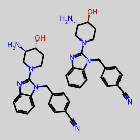 N#Cc1ccc(Cn2c(N3CC[C@@H](O)[C@H](N)C3)nc3ccccc32)cc1.N#Cc1ccc(Cn2c(N3CC[C@H](O)[C@@H](N)C3)nc3ccccc32)cc1